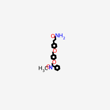 CO/N=C(\COc1ccc(COc2ccc(CCC(N)=O)cc2)cc1)c1ccccc1